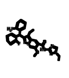 CCc1c(C(c2ccccc2F)c2ccccc2P)nn2cc(OC)c(C(=O)Nc3ncn(CC)n3)cc12